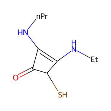 CCCNC1=C(NCC)C(S)C1=O